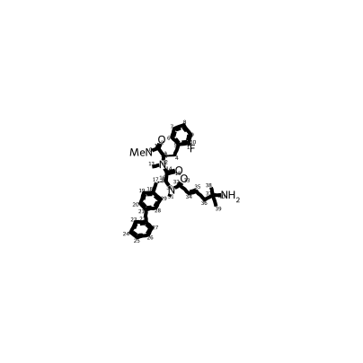 CNC(=O)[C@@H](Cc1ccccc1F)N(C)C(=O)[C@@H](Cc1ccc(-c2ccccc2)cc1)N(C)C(=O)C=CCC(C)(C)N